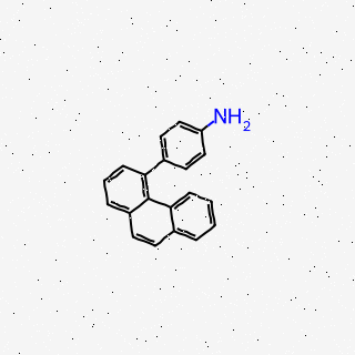 Nc1ccc(-c2cccc3ccc4ccccc4c23)cc1